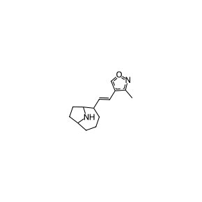 Cc1nocc1C=CC1CCCC2CCC1N2